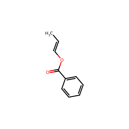 CC=COC(=O)c1ccccc1